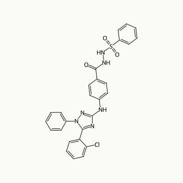 O=C(NNS(=O)(=O)c1ccccc1)c1ccc(Nc2nc(-c3ccccc3Cl)n(-c3ccccc3)n2)cc1